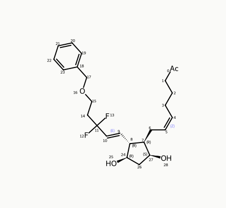 CC(=O)CCC/C=C\C[C@@H]1[C@@H](/C=C/C(F)(F)CCOCc2ccccc2)[C@H](O)C[C@@H]1O